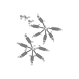 N#[C][Co-3]([C]#N)([C]#N)([C]#N)([C]#N)[C]#N.N#[C][Co-3]([C]#N)([C]#N)([C]#N)([C]#N)[C]#N.[Ru+2].[Ru+2].[Ru+2]